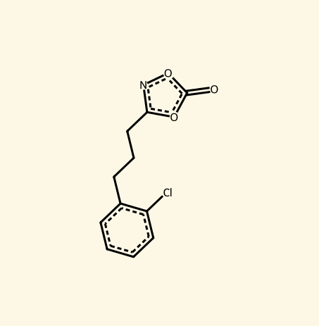 O=c1onc(CCCc2ccccc2Cl)o1